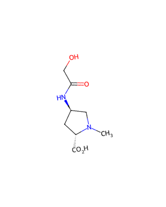 CN1C[C@H](NC(=O)CO)C[C@H]1C(=O)O